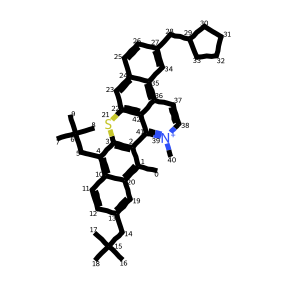 Cc1c2c(c(CC(C)(C)C)c3ccc(CC(C)(C)C)cc13)Sc1cc3ccc(CC4CCCC4)cc3c3cc[n+](C)c-2c13